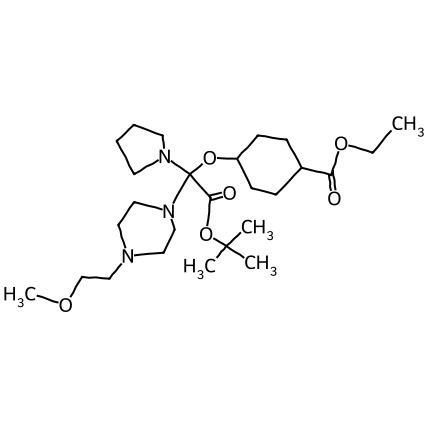 CCOC(=O)C1CCC(OC(C(=O)OC(C)(C)C)(N2CCCC2)N2CCN(CCOC)CC2)CC1